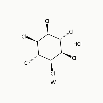 Cl.Cl[C@H]1[C@H](Cl)[C@@H](Cl)[C@@H](Cl)[C@H](Cl)[C@H]1Cl.[W]